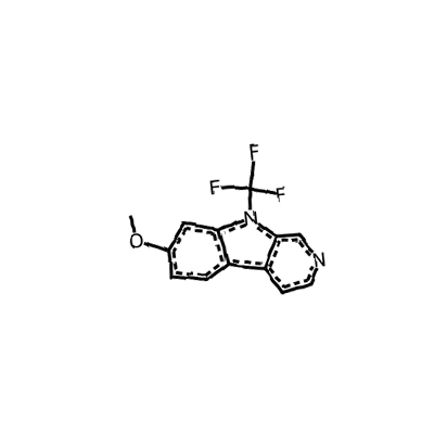 COc1ccc2c3ccncc3n(C(F)(F)F)c2c1